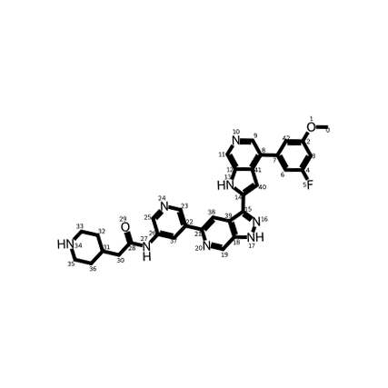 COc1cc(F)cc(-c2cncc3[nH]c(-c4n[nH]c5cnc(-c6cncc(NC(=O)CC7CCNCC7)c6)cc45)cc23)c1